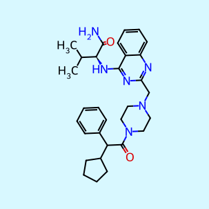 CC(C)[C@H](Nc1nc(CN2CCN(C(=O)C(c3ccccc3)C3CCCC3)CC2)nc2ccccc12)C(N)=O